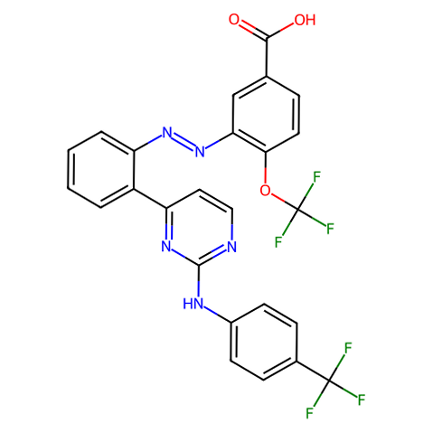 O=C(O)c1ccc(OC(F)(F)F)c(N=Nc2ccccc2-c2ccnc(Nc3ccc(C(F)(F)F)cc3)n2)c1